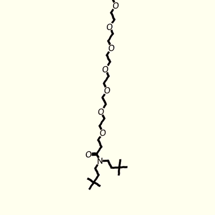 COCCOCCOCCOCCOCCOCCOCCC(=O)N(CCC(C)(C)C)CCC(C)(C)C